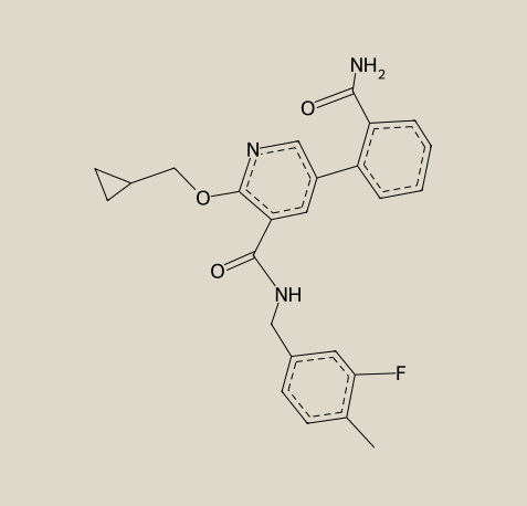 Cc1ccc(CNC(=O)c2cc(-c3ccccc3C(N)=O)cnc2OCC2CC2)cc1F